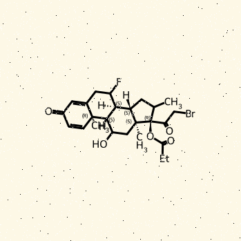 CCC(=O)O[C@]1(C(=O)CBr)C(C)C[C@H]2[C@@H]3C(F)CC4=CC(=O)C=C[C@]4(C)[C@H]3C(O)C[C@@]21C